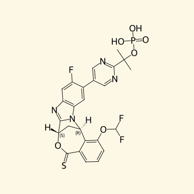 CC(C)(OP(=O)(O)O)c1ncc(-c2cc3c(cc2F)nc2n3[C@@H]3C[C@@H]2OC(=S)c2cccc(OC(F)F)c23)cn1